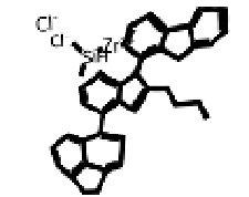 CCCCC1=Cc2c(-c3ccc4c5c(cccc35)CC4)cccc2C1c1[c]([Zr+2][SiH](C)C)ccc2c1Cc1ccccc1-2.[Cl-].[Cl-]